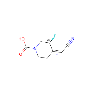 N#C/C=C1/CCN(C(=O)O)C[C@H]1F